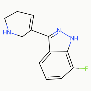 Fc1cccc2c(C3=CCCNC3)n[nH]c12